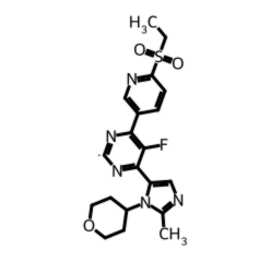 CCS(=O)(=O)c1ccc(-c2n[c]nc(-c3cnc(C)n3C3CCOCC3)c2F)cn1